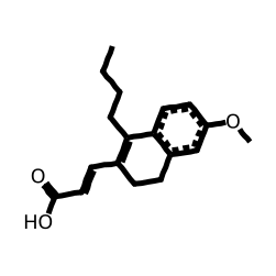 CCCCC1=C(/C=C/C(=O)O)CCc2cc(OC)ccc21